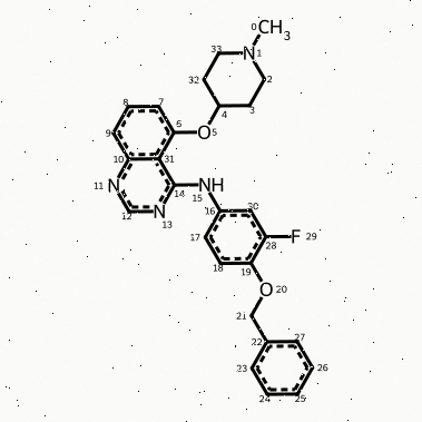 CN1CCC(Oc2cccc3ncnc(Nc4ccc(OCc5ccccc5)c(F)c4)c23)CC1